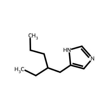 CCCC(CC)Cc1cnc[nH]1